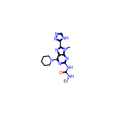 CCNC(=O)Nc1nc(N2CCCCC2)c2nc(-c3nnc[nH]3)n(C)c2n1